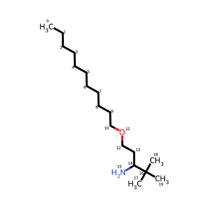 CCCCCCCCCCCOCCC(N)C(C)(C)C